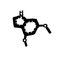 COc1cc(OC)c2cc[nH]c2c1